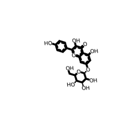 O=c1c(O)c(-c2ccc(O)cc2)oc2cc(O[C@@H]3OC(CO)[C@H](O)[C@H](O)C3O)cc(O)c12